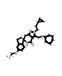 O=C1N[C@@]2(CCc3cc(OCC(F)(F)F)ccc32)Cc2nn(CCC3CC3)c(CNc3ccccc3)c21